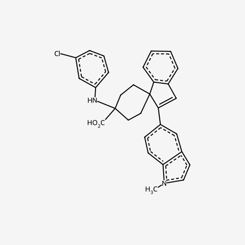 Cn1ccc2cc(C3=Cc4ccccc4C34CCC(Nc3cccc(Cl)c3)(C(=O)O)CC4)ccc21